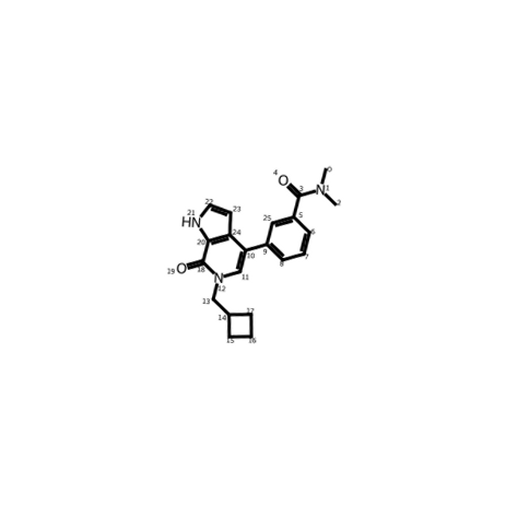 CN(C)C(=O)c1cccc(-c2cn(CC3CCC3)c(=O)c3[nH]ccc23)c1